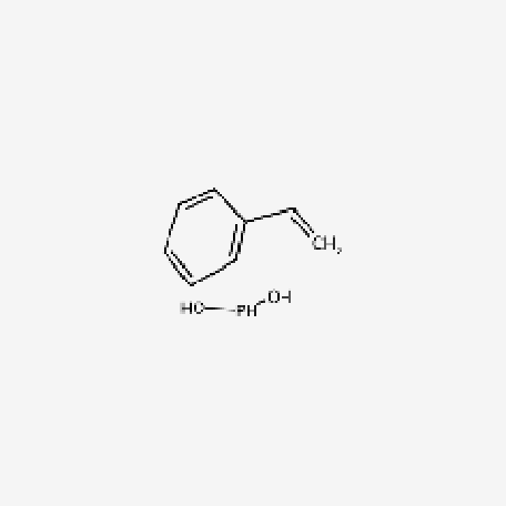 C=Cc1ccccc1.OPO